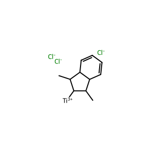 CC1[CH]([Ti+3])C(C)C2C=CC=CC12.[Cl-].[Cl-].[Cl-]